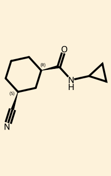 N#C[C@H]1CCC[C@@H](C(=O)NC2CC2)C1